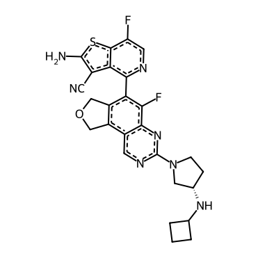 N#Cc1c(N)sc2c(F)cnc(-c3c4c(c5cnc(N6CC[C@H](NC7CCC7)C6)nc5c3F)COC4)c12